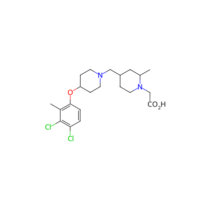 Cc1c(OC2CCN(CC3CCN(CC(=O)O)C(C)C3)CC2)ccc(Cl)c1Cl